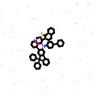 c1ccc(-c2ccc(N(c3cc4c(cc3-c3ccccc3)C(c3ccccc3)(c3ccccc3)c3ccccc3-4)c3cncc4sc5c6ccccc6ccc5c34)cc2)cc1